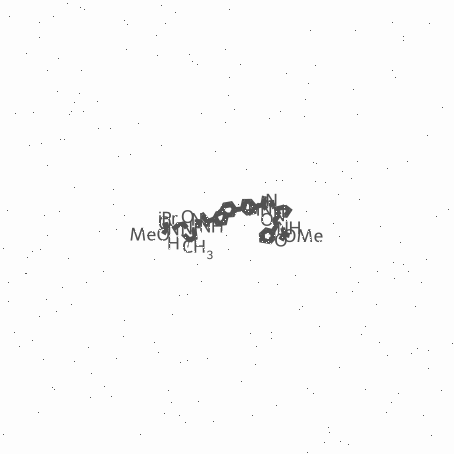 COC(=O)N[C@H](C(=O)N1C[C@@H](C)C[C@H]1c1ncc(-c2ccc3cc(-c4ccc(-c5cnc([C@@H]6CCCN6C(=O)[C@H](NC(=O)OC)c6ccccc6)[nH]5)cc4)ccc3c2)[nH]1)C(C)C